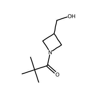 CC(C)(C)C(=O)N1CC(CO)C1